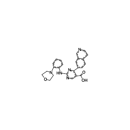 O=C(O)c1cnc(Nc2ccccc2N2CCOCC2)nc1-c1ccc2ccncc2c1